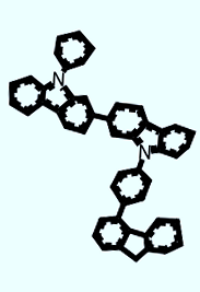 c1ccc(-n2c3ccccc3c3ccc(-c4ccc5c6ccccc6n(-c6ccc(-c7cccc8c7-c7ccccc7C8)cc6)c5c4)cc32)cc1